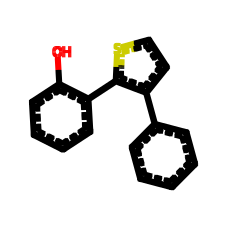 Oc1ccccc1-c1sccc1-c1ccccc1